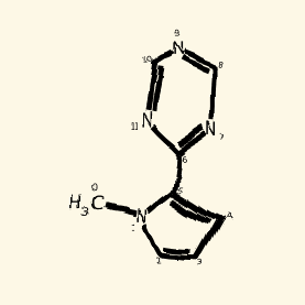 Cn1cccc1-c1ncncn1